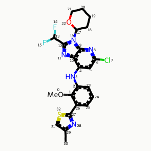 COc1c(Nc2cc(Cl)nc3c2nc(C(F)F)n3C2CCCCO2)cccc1-c1nc(C)cs1